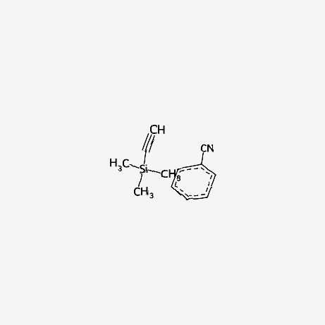 C#C[Si](C)(C)C.N#Cc1ccccc1